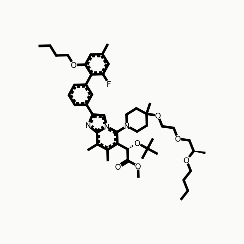 CCCCOc1cc(C)cc(F)c1-c1cccc(-c2cn3c(N4CCC(C)(OCCOC[C@@H](C)OCCCC)CC4)c([C@H](OC(C)(C)C)C(=O)OC)c(C)c(C)c3n2)c1